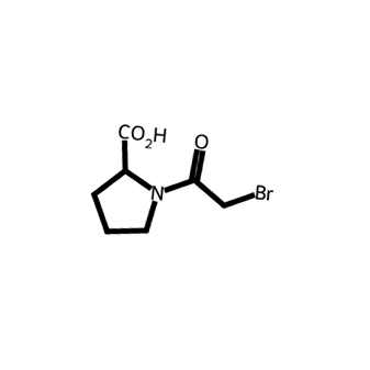 O=C(O)C1CCCN1C(=O)CBr